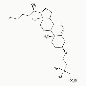 CCOC(=O)C[N+](C)(O)CCO[C@H]1CC[C@@]2(C)C(=CCC3C2CC[C@@]2(C)C3CC[C@@H]2[C@H](C)CCCC(C)C)C1